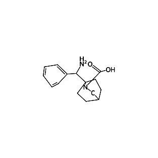 NC(c1ccccc1)C12CCC(CC1)CN2C(=O)O